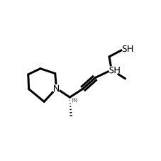 C[C@@H](C#C[SH](C)CS)N1CCCCC1